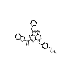 COc1ccc(CN2CCC3NN(Cc4ccccc4)c4nc(NC5Cc6ccccc6C5)nc2c43)cc1